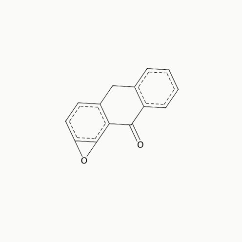 O=C1c2ccccc2Cc2ccc3c(c21)O3